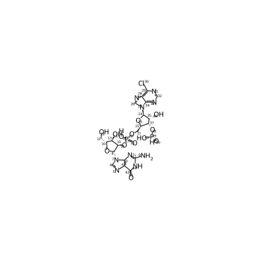 Nc1nc2c(ncn2[C@@H]2O[C@H](CO)[C@@H](O)[C@H]2OP(=O)(O)OC[C@H]2O[C@@H](n3cnc4c(Cl)ncnc43)[C@H](O)[C@@H]2O[PH](=O)O)c(=O)[nH]1